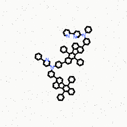 c1ccc(-c2ccc(N(c3ccc(-c4ccc5c(-c6ccccc6)c6c(c(-c7ccccc7)c5c4)-c4cccc5c(-c7cccc(N(c8ccccc8)c8ccc(-c9ccccn9)nc8)c7)ccc-6c45)cc3)c3cccc(-c4ccc5c6c(cccc46)-c4c-5c(-c5ccccc5)c5ccccc5c4-c4ccccc4)c3)cn2)cc1